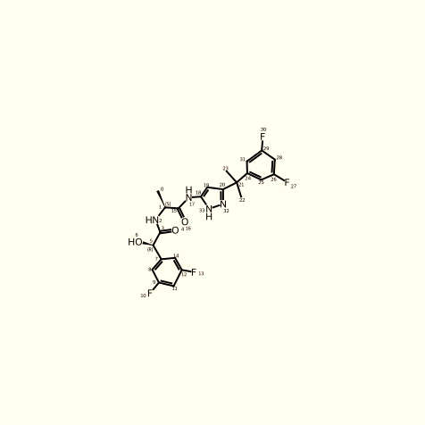 C[C@H](NC(=O)[C@H](O)c1cc(F)cc(F)c1)C(=O)Nc1cc(C(C)(C)c2cc(F)cc(F)c2)n[nH]1